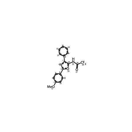 COc1ccc(-c2nc(-c3ccccc3)c(NC(=O)C(F)(F)F)o2)cc1